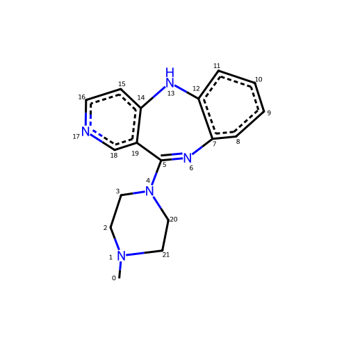 CN1CCN(C2=Nc3ccccc3Nc3ccncc32)CC1